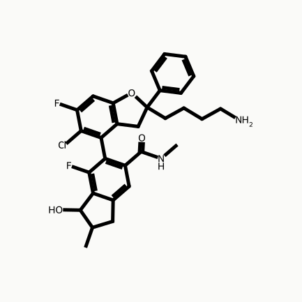 CNC(=O)c1cc2c(c(F)c1-c1c(Cl)c(F)cc3c1CC(CCCCN)(c1ccccc1)O3)C(O)C(C)C2